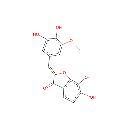 COc1cc(/C=C2\Oc3c(ccc(O)c3O)C2=O)cc(O)c1O